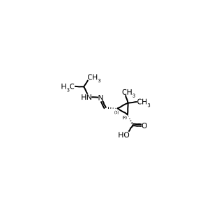 CC(C)NN=C[C@H]1[C@@H](C(=O)O)C1(C)C